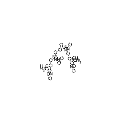 CC1(C)c2cc(-c3ccc(-c4nc(-c5ccccc5)nc(-n5c6ccccc6c6cc(-c7cccc(-c8nc(-c9cccc(-c%10ccc%11c(c%10)C(C)(C)c%10cc%12oc(-c%13ccccc%13)nc%12cc%10-%11)c9)nc(-n9c%10ccccc%10c%10ccccc%109)n8)c7)ccc65)n4)cc3)ccc2-c2cc3nc(-c4ccccc4)oc3cc21